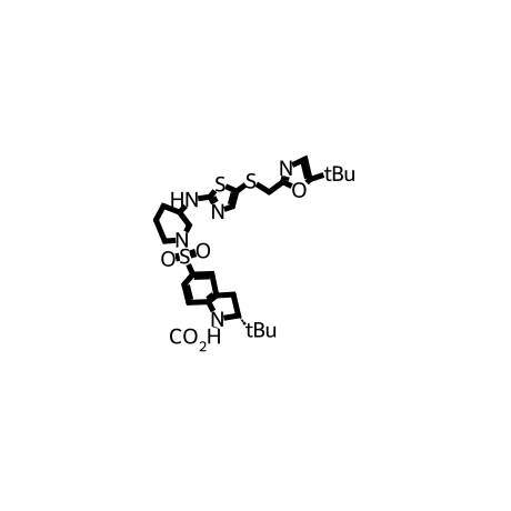 CC(C)(C)c1cnc(CSc2cnc(NC3CCCN(S(=O)(=O)c4ccc5c(c4)C[C@H](C(C)(C)C)N5C(=O)O)C3)s2)o1